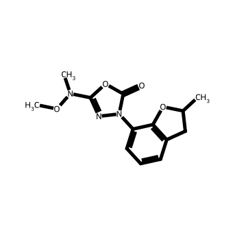 CON(C)c1nn(-c2cccc3c2OC(C)C3)c(=O)o1